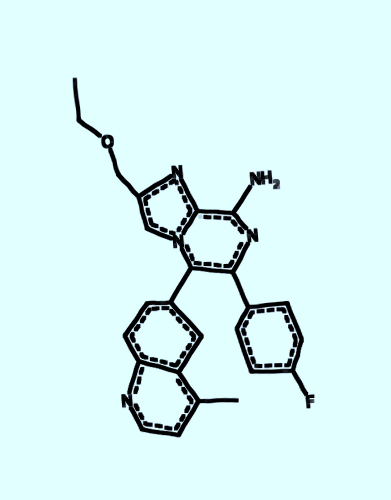 CCOCc1cn2c(-c3ccc4nccc(C)c4c3)c(-c3ccc(F)cc3)nc(N)c2n1